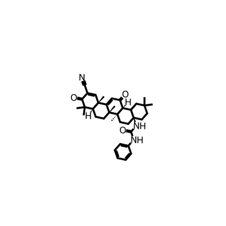 CC1(C)CC[C@]2(NC(=O)Nc3ccccc3)CC[C@]3(C)[C@@H](C(=O)C=C4[C@@]5(C)C=C(C#N)C(=O)C(C)(C)[C@@H]5CC[C@]43C)C2C1